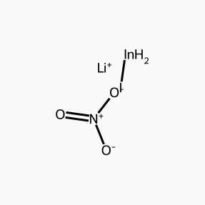 O=[N+]([O-])[O-].[InH2][I].[Li+]